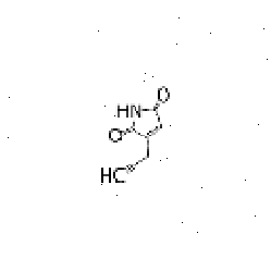 C#CCC1=CC(=O)NC1=O